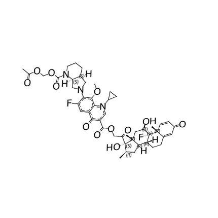 COc1c(N2C[C@@H]3CCCN(C(=O)OCOC(C)=O)[C@@H]3C2)c(F)cc2c(=O)c(C(=O)OCC(=O)[C@]3(O)[C@H](C)C[C@@H]4[C@H]5CCC6=CC(=O)C=C[C@@]6(C)[C@]5(F)[C@H](O)C[C@]43C)cn(C3CC3)c12